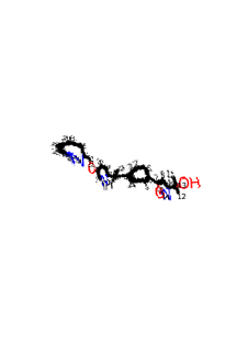 CC(C)C(C)(c1ccc(-c2cc(C(C)(C)O)no2)cc1)c1ccc(OCc2ccccn2)cn1